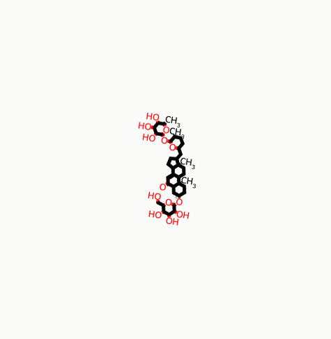 CC1OC(OC2OC(CC3CCC4C5=CC(=O)C6C[C@@H](OC7OC(CO)C(O)C(O)C7O)CC[C@]6(C)C5CC[C@]34C)CC[C@H]2C)C(O)C(O)C1O